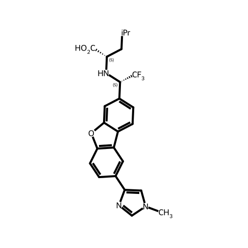 CC(C)C[C@H](N[C@@H](c1ccc2c(c1)oc1ccc(-c3cn(C)cn3)cc12)C(F)(F)F)C(=O)O